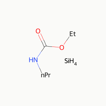 CCCNC(=O)OCC.[SiH4]